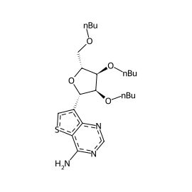 CCCCOC[C@H]1O[C@@H](c2csc3c(N)ncnc23)[C@H](OCCCC)[C@@H]1OCCCC